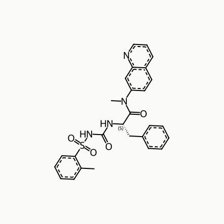 Cc1ccccc1S(=O)(=O)NC(=O)N[C@@H](Cc1ccccc1)C(=O)N(C)c1ccc2cccnc2c1